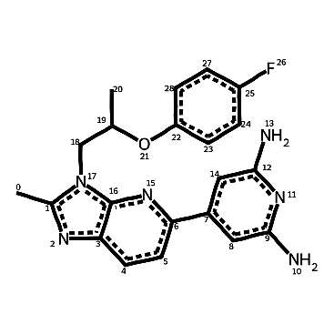 Cc1nc2ccc(-c3cc(N)nc(N)c3)nc2n1CC(C)Oc1ccc(F)cc1